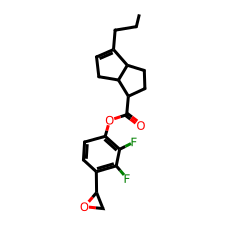 CCCC1=CCC2C(C(=O)Oc3ccc(C4CO4)c(F)c3F)CCC12